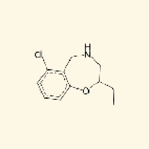 CCC1CNCc2c(Cl)cccc2O1